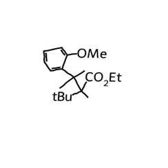 CCOC(=O)C(C)(C(C)(C)C)C(C)(C)c1ccccc1OC